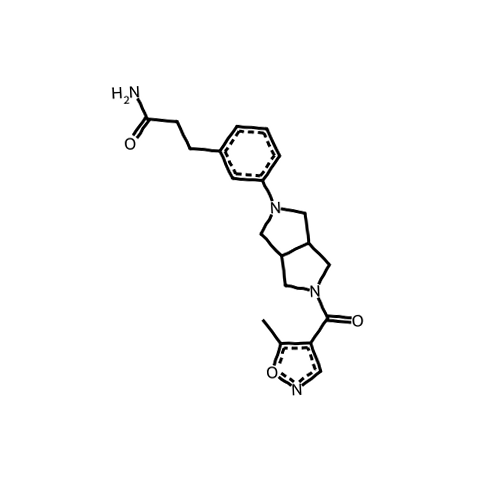 Cc1oncc1C(=O)N1CC2CN(c3cccc(CCC(N)=O)c3)CC2C1